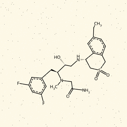 CCc1ccc2c(c1)[C@@H](NC[C@@H](O)[C@H](Cc1cc(F)cc(F)c1)N(C)CC(N)=O)CS(=O)(=O)C2